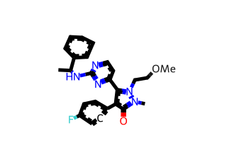 COCCn1c(-c2ccnc(NC(C)c3ccccc3)n2)c(-c2ccc(F)cc2)c(=O)n1C